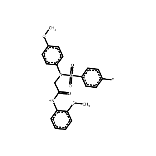 COc1ccc(N(CC(=O)Nc2ccccc2SC)S(=O)(=O)c2ccc(F)cc2)cc1